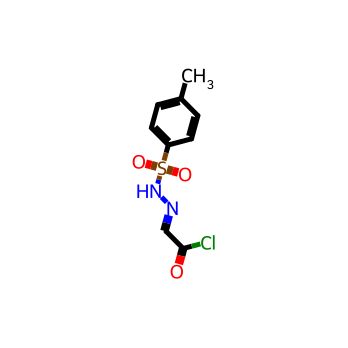 Cc1ccc(S(=O)(=O)N/N=C/C(=O)Cl)cc1